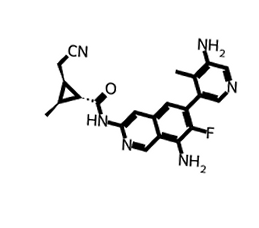 Cc1c(N)cncc1-c1cc2cc(NC(=O)[C@@H]3[C@@H](C)[C@H]3CC#N)ncc2c(N)c1F